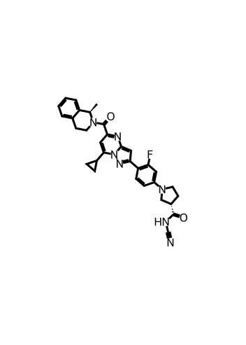 C[C@@H]1c2ccccc2CCN1C(=O)c1cc(C2CC2)n2nc(-c3ccc(N4CC[C@H](C(=O)NC#N)C4)cc3F)cc2n1